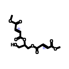 COC(=O)/C=C/C(=O)OCC(CO)OC(=O)/C=C/C(=O)OC